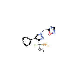 CC(F)(P)c1nn(Cc2ncno2)cc1-c1ccccc1